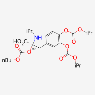 CCCCOC(=O)O[C@](Cc1ccc(OC(=O)OC(C)C)c(OC(=O)OC(C)C)c1)(NC(C)C)C(=O)O